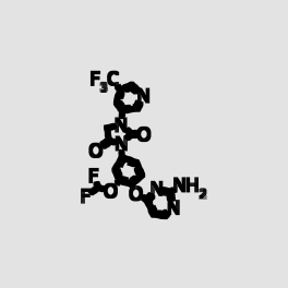 Nc1nccc(Oc2ccc(N3C(=O)CN(c4cncc(C(F)(F)F)c4)C3=O)cc2OC(F)F)n1